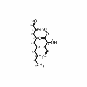 C=CCC(O)C(=O)OCCCCC.CCCCCCCCCC=O